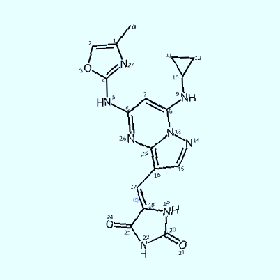 Cc1coc(Nc2cc(NC3CC3)n3ncc(/C=C4\NC(=O)NC4=O)c3n2)n1